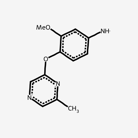 COc1cc([NH])ccc1Oc1cncc(C)n1